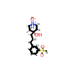 CS(=O)(=O)c1cccc(CCCC2(O)CC[NH+]([O-])CC2)c1